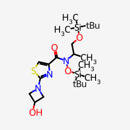 CC(CO[Si](C)(C)C(C)(C)C)N(O[Si](C)(C)C(C)(C)C)C(=O)c1csc(N2CC(O)C2)n1